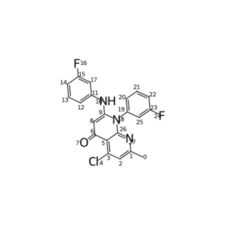 Cc1cc(Cl)c2c(=O)cc(Nc3cccc(F)c3)n(-c3cccc(F)c3)c2n1